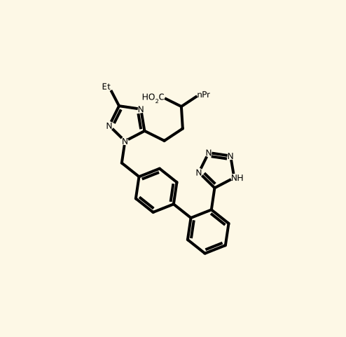 CCCC(CCc1nc(CC)nn1Cc1ccc(-c2ccccc2-c2nnn[nH]2)cc1)C(=O)O